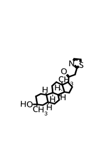 C[C@@]1(O)CC[C@H]2[C@@H](CC[C@@H]3[C@@H]2CC[C@]2(C)[C@@H](C(=O)Cc4nccs4)CC[C@@H]32)C1